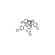 COc1ccc(Cl)cc1S(=O)(=O)N1c2cccc(=O)n2[C@@H](c2ccc(Cl)cc2)[C@H]1c1ccc(Cl)cc1